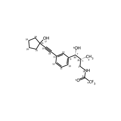 C[C@H](CNC(=O)C(F)(F)F)[C@@H](O)c1cccc(C#CC2(O)CCCC2)c1